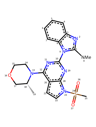 CNc1nc2ccccc2n1-c1nc(N2CCOC[C@H]2C)c2ccn(S(C)(=O)=O)c2n1